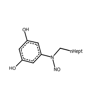 CCCCCCCCN(N=O)c1cc(O)cc(O)c1